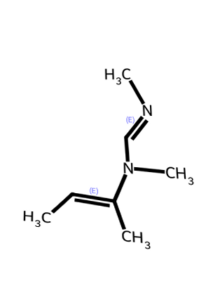 C/C=C(\C)N(C)/C=N/C